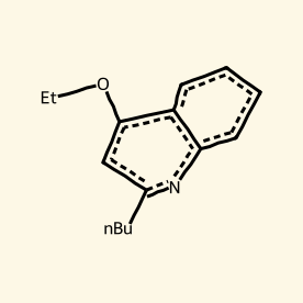 [CH2]COc1cc(CCCC)nc2ccccc12